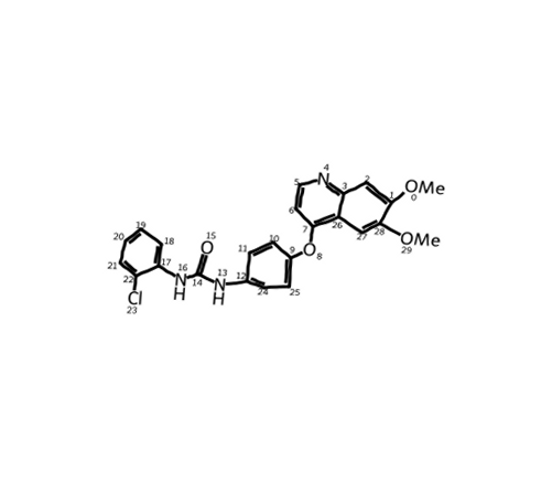 COc1cc2nccc(Oc3ccc(NC(=O)Nc4ccccc4Cl)cc3)c2cc1OC